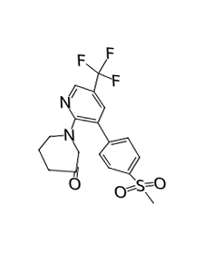 CS(=O)(=O)c1ccc(-c2cc(C(F)(F)F)cnc2N2CCCC(=O)C2)cc1